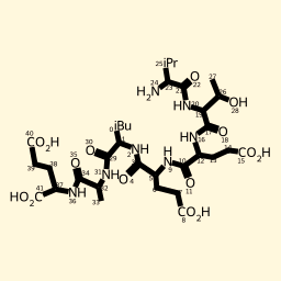 CCC(C)C(NC(=O)C(CCC(=O)O)NC(=O)C(CCC(=O)O)NC(=O)C(NC(=O)C(N)C(C)C)C(C)O)C(=O)NC(C)C(=O)NC(CCC(=O)O)C(=O)O